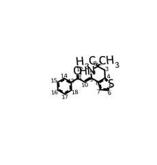 CC1(C)Cc2sccc2C(=CC(=O)c2ccccc2)N1